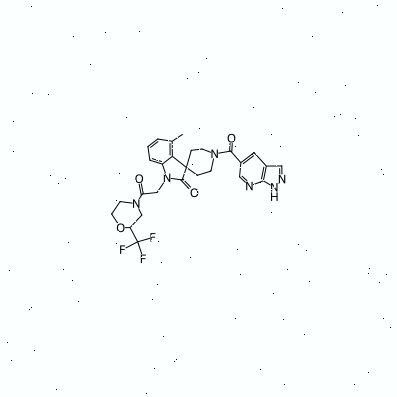 Cc1cccc2c1C1(CCN(C(=O)c3cnc4[nH]ncc4c3)CC1)C(=O)N2CC(=O)N1CCOC(C(F)(F)F)C1